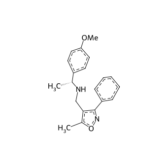 COc1ccc([C@@H](C)NCc2c(-c3ccccc3)noc2C)cc1